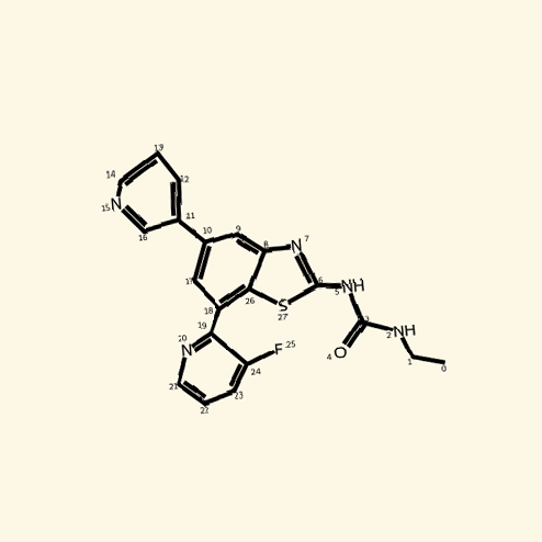 CCNC(=O)Nc1nc2cc(-c3cccnc3)cc(-c3ncccc3F)c2s1